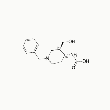 O=C(O)N[C@@H]1CCN(Cc2ccccc2)C[C@H]1CO